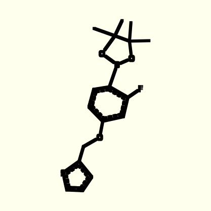 CC1(C)OB(c2ccc(OCc3cccs3)cc2F)OC1(C)C